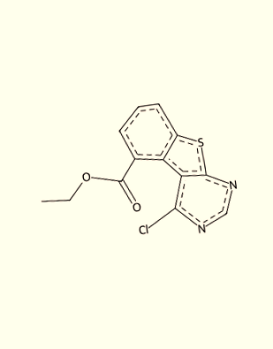 CCOC(=O)c1cccc2sc3ncnc(Cl)c3c12